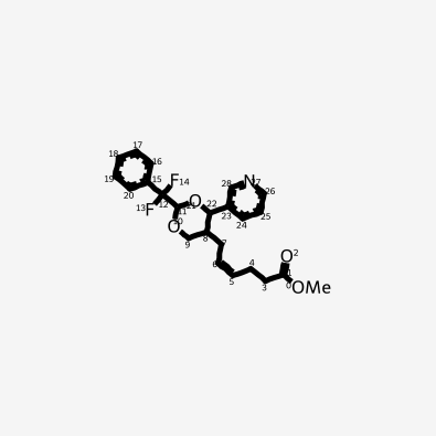 COC(=O)CC/C=C\CC1COC(C(F)(F)c2ccccc2)OC1c1cccnc1